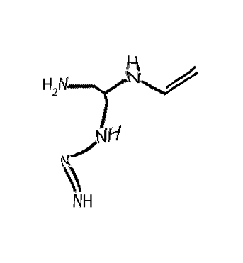 C=CNC(N)NN=N